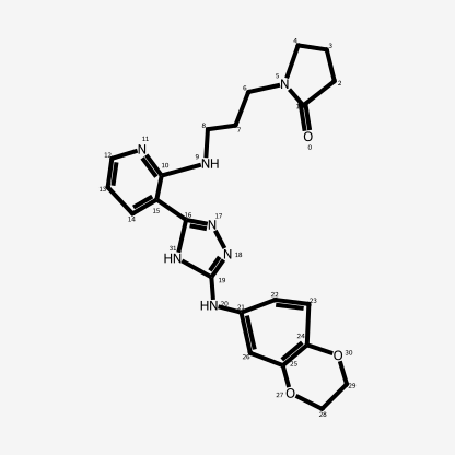 O=C1CCCN1CCCNc1ncccc1-c1nnc(Nc2ccc3c(c2)OCCO3)[nH]1